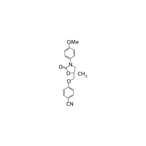 COc1ccc(N2C[C@@](C)(COc3ccc(C#N)cc3)OC2=O)cc1